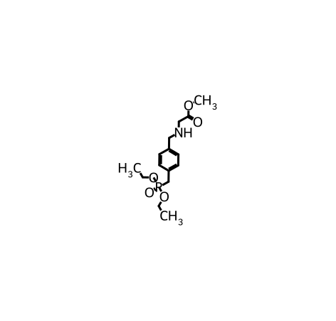 CCOP(=O)(Cc1ccc(CNCC(=O)OC)cc1)OCC